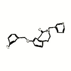 O=C1c2cc(OCc3cccc(Cl)c3)ccc2CCN1Cc1cccnc1